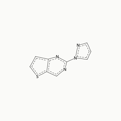 c1cnn(-c2ncc3sccc3n2)c1